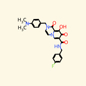 CN(C)c1ccc(Cn2ccn3cc(C(=O)NCc4ccc(F)cc4)c(=O)c(O)c3c2=O)cc1